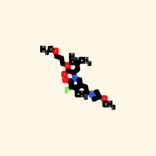 COCCCOC(=O)C(CC(C)C)n1cc(CCN2CC(OC)C2)c(C)c(F)c1=O